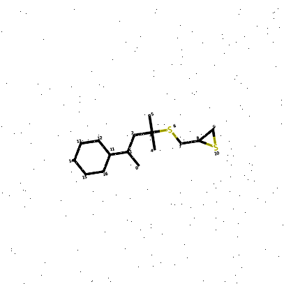 CC(CC(C)(C)SCC1CS1)C1CCCCC1